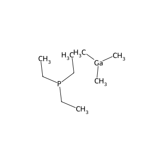 CCP(CC)CC.[CH3][Ga]([CH3])[CH3]